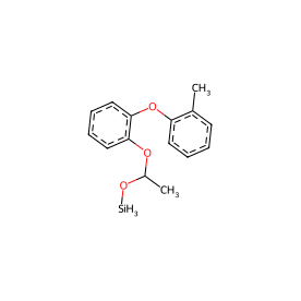 Cc1ccccc1Oc1ccccc1OC(C)O[SiH3]